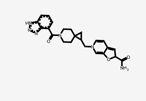 NC(=O)C1C=C2C=CN(CC3CC34CCN(C(=O)c3cccc5[nH]nnc35)CC4)C=C2O1